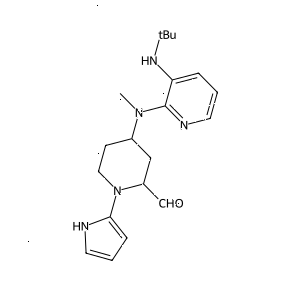 CN(c1ncccc1NC(C)(C)C)C1CCN(c2ccc[nH]2)C(C=O)C1